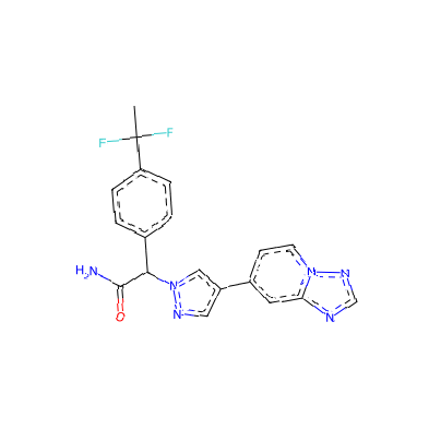 CC(F)(F)c1ccc(C(C(N)=O)n2cc(-c3ccn4ncnc4c3)cn2)cc1